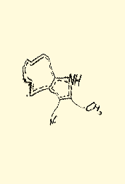 CC(=O)c1c(C)[nH]c2ccc[c]c12